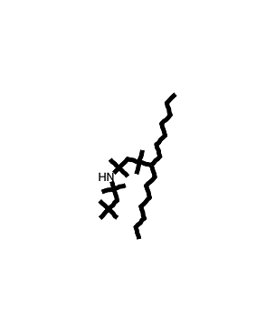 CCCCCCCC(CCCCCCC)C(C)(C)CC(C)(C)NC(C)(C)CC(C)(C)C